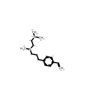 C=Cc1ccc(CCCN(C)CCN(C)C)cc1